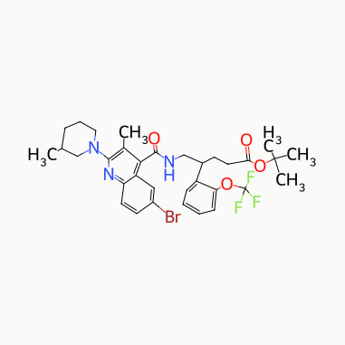 Cc1c(N2CCCC(C)C2)nc2ccc(Br)cc2c1C(=O)NCC(CCC(=O)OC(C)(C)C)c1ccccc1OC(F)(F)F